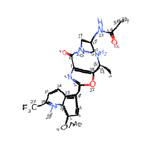 COc1ccc(-c2nc(C(=O)N3CC(NC(=O)C(C)C)C3)c([C@H](C)N)o2)c2ccc(C(F)(F)F)nc12